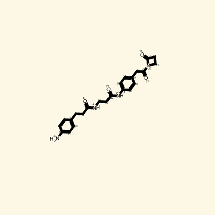 Nc1ccc(CCC(=O)NCCC(=O)Nc2ccc(CC(=O)N3CCC3=O)cc2)cc1